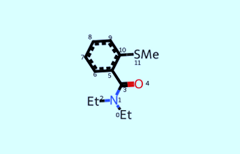 CCN(CC)C(=O)c1ccccc1SC